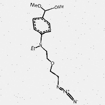 CCN(CCOCCN=[N+]=[N-])c1ccc(C(OC)OC)cc1